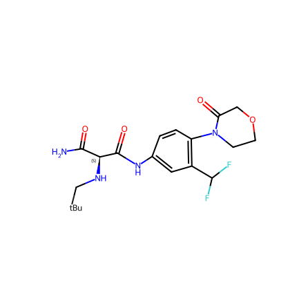 CC(C)(C)CN[C@@H](C(N)=O)C(=O)Nc1ccc(N2CCOCC2=O)c(C(F)F)c1